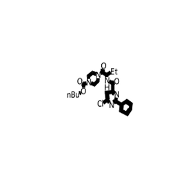 CCCCOC(=O)N1CCN(C(=O)C(CC)NC(=O)c2cc(Cl)nc(-c3ccccc3)n2)CC1